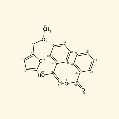 COCc1ccco1.O=C(O)c1ccccc1.O=C(O)c1ccccc1